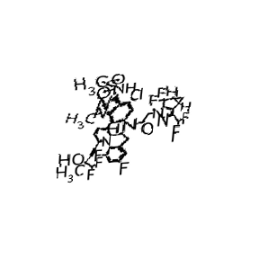 Cn1nc(NS(C)(=O)=O)c2c(Cl)ccc(-c3ccc(C#C[C@@](C)(O)C(F)F)nc3[C@H](Cc3cc(F)cc(F)c3)NC(=O)Cn3nc(C(F)F)c4c3C(F)(F)[C@@H]3C[C@H]43)c21